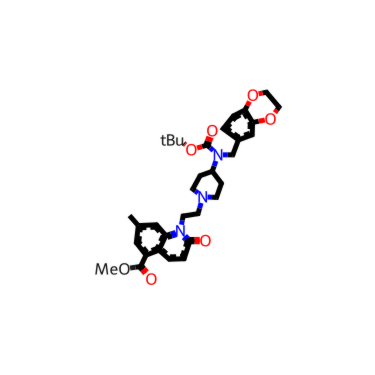 COC(=O)c1cc(C)cc2c1ccc(=O)n2CCN1CCC(N(Cc2ccc3c(c2)OCCO3)C(=O)OC(C)(C)C)CC1